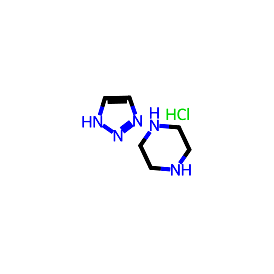 C1CNCCN1.Cl.c1c[nH]nn1